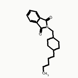 CCCCCC1CCC(CN2C(=O)c3ccccc3C2=O)CC1